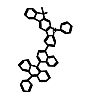 CC1(C)c2ccccc2-c2cc3c4cc(-c5ccc(-c6c7ccccc7c(-c7ccccc7)c7ccccc67)c6ccccc56)ccc4n(-c4ccccc4)c3cc21